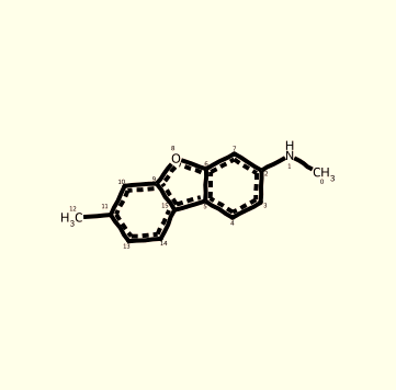 CNc1ccc2c(c1)oc1cc(C)ccc12